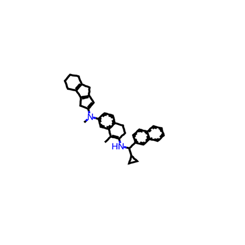 CC1=C(NC(c2ccc3ccccc3c2)C2CC2)CCc2ccc(N(C)C3=CC4=C(C3)C3=C(CCCC3)C4)cc21